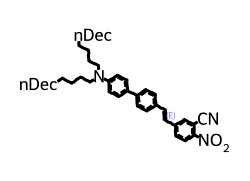 CCCCCCCCCCCCCCN(CCCCCCCCCCCCCC)c1ccc(-c2ccc(/C=C/c3ccc([N+](=O)[O-])c(C#N)c3)cc2)cc1